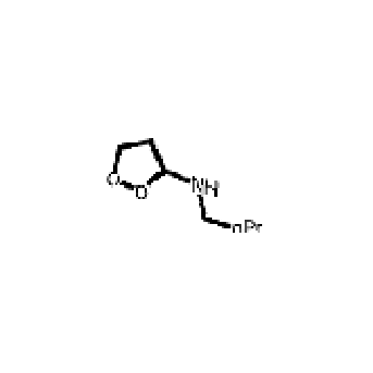 CCCCN[C]1CCOO1